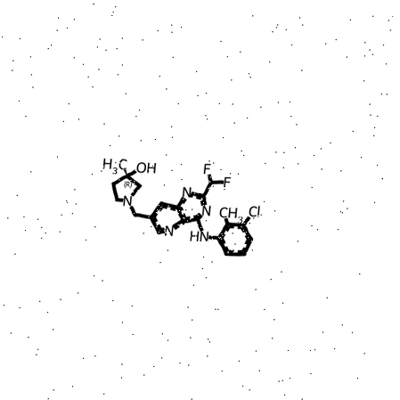 Cc1c(Cl)cccc1Nc1nc(C(F)F)nc2cc(CN3CC[C@@](C)(O)C3)cnc12